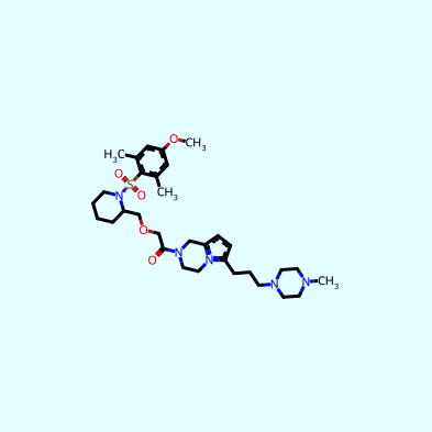 COc1cc(C)c(S(=O)(=O)N2CCCCC2COCC(=O)N2CCn3c(CCCN4CCN(C)CC4)ccc3C2)c(C)c1